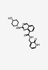 O=C(NCc1ccc[nH]c1=O)c1cccc2cnc(N[C@H]3CC[C@H](O)CC3)nc12